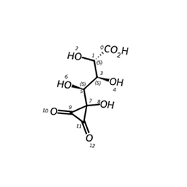 O=C(O)[C@@H](O)[C@@H](O)[C@H](O)C1(O)C(=O)C1=O